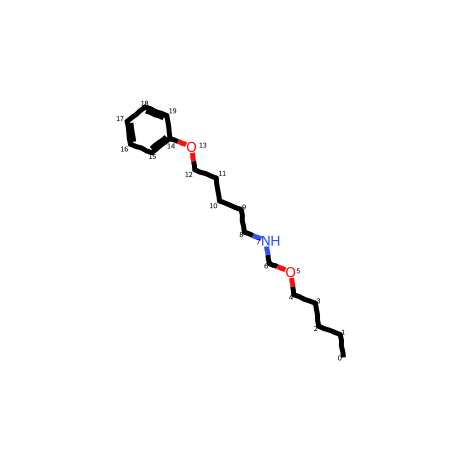 CCCCCOCNCCCCCOc1ccccc1